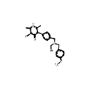 Cc1[nH]c(C)c(-c2ccc(CN(Cc3ccc(OC(F)(F)F)cc3)CC(C)C)cc2)c(=O)c1Cl